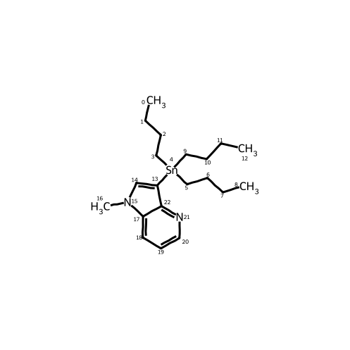 CCC[CH2][Sn]([CH2]CCC)([CH2]CCC)[c]1cn(C)c2cccnc12